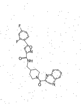 O=C(NCC1CCN(C(=O)c2cnc3ccccc3n2)CC1)c1cc(-c2ccc(F)cc2F)on1